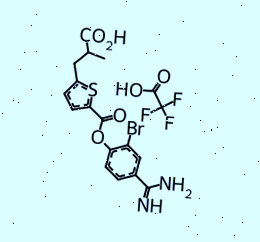 CC(Cc1ccc(C(=O)Oc2ccc(C(=N)N)cc2Br)s1)C(=O)O.O=C(O)C(F)(F)F